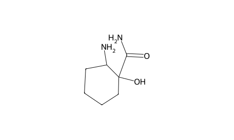 NC(=O)C1(O)CCCCC1N